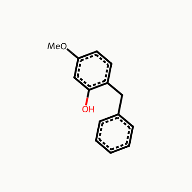 COc1ccc(Cc2ccccc2)c(O)c1